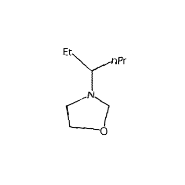 CCCC(CC)N1CCOC1